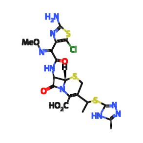 CON=C(C(=O)NC1C(=O)N2C(C(=O)O)=C(C(C)Sc3nnc(C)[nH]3)CS[C@@H]12)c1nc(N)sc1Cl